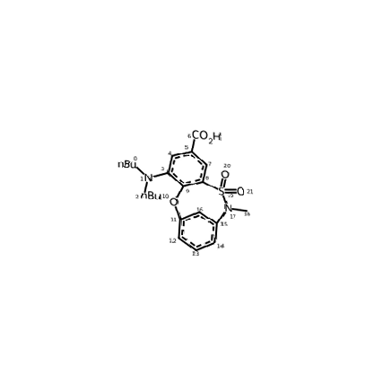 CCCCN(CCCC)c1cc(C(=O)O)cc2c1Oc1cccc(c1)N(C)S2(=O)=O